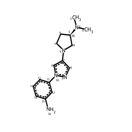 CN(C)[C@@H]1CCN(c2cnn(-c3cccc(N)c3)c2)C1